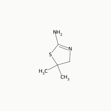 CC1(C)CN=C(N)S1